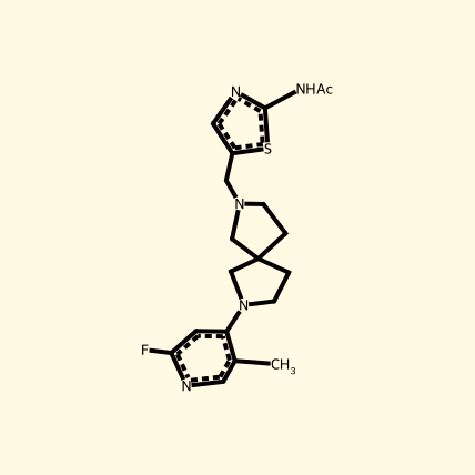 CC(=O)Nc1ncc(CN2CCC3(CCN(c4cc(F)ncc4C)C3)C2)s1